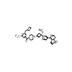 N#CC[C@]1(n2cc(-c3ncnc4[nH]ccc34)cn2)C[C@H](N2CCN(C(=O)c3cc(CN4CCC4)nc(C(F)(F)F)n3)CC2)C1